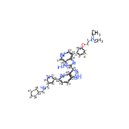 CN(C)CCOc1cc(F)cc(-c2cncc3[nH]c(-c4n[nH]c5ccc(-c6cncc(CNCC7CCCC7)c6)nc45)nc23)c1